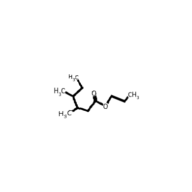 CCCOC(=O)CC(C)C(C)CC